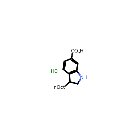 CCCCCCCCC1CNc2cc(C(=O)O)ccc21.Cl